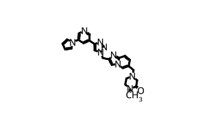 CN1CCN(Cc2ccc3nc(Cn4cc(-c5cncc(-n6cccc6)c5)nn4)cn3c2)CC1=O